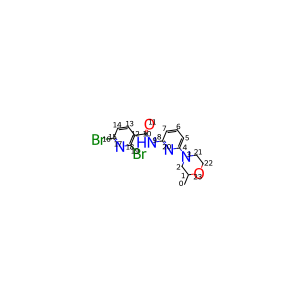 CC1CN(c2cccc(NC(=O)c3ccc(Br)nc3Br)n2)CCO1